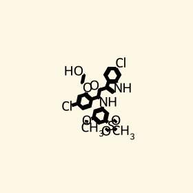 COc1cc(NC(C(=O)c2c[nH]c3cc(Cl)ccc23)c2ccc(Cl)cc2OCCO)cc(S(C)(=O)=O)c1